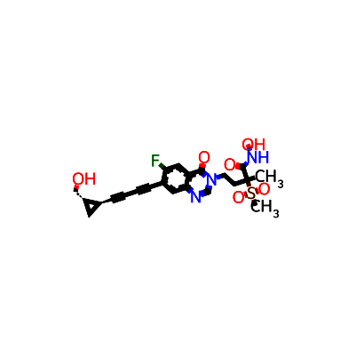 CC(CCn1cnc2cc(C#CC#C[C@H]3C[C@@H]3CO)c(F)cc2c1=O)(C(=O)NO)S(C)(=O)=O